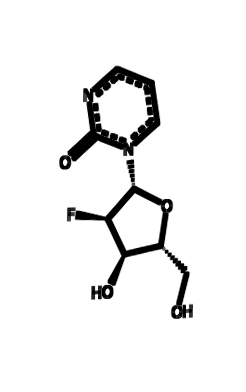 O=c1ncccn1[C@@H]1O[C@H](CO)[C@@H](O)[C@H]1F